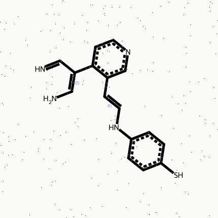 N=C/C(=C\N)c1ccncc1/C=C/Nc1ccc(S)cc1